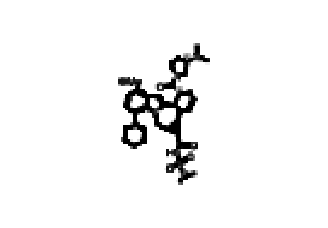 COc1ccc(C2CCCCC2)c2c1cc1n2CC2=C(C(=O)NS(=O)(=O)N(C)C)C2=C2C=CC[C@@H](C(=O)N3CC[C@@H](N(C)C)C3)C21